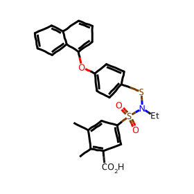 CCN(Sc1ccc(Oc2cccc3ccccc23)cc1)S(=O)(=O)c1cc(C)c(C)c(C(=O)O)c1